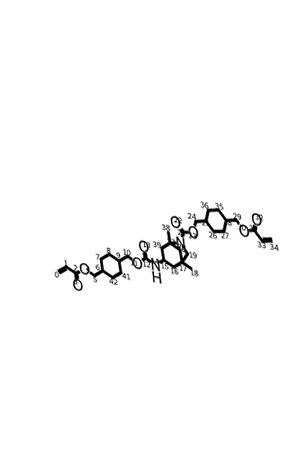 C=CC(=O)OCC1CCC(COC(=O)NC2CC3(C)CN(C(=O)OCC4CCC(COC(=O)C=C)CC4)C(C)(C2)C3)CC1